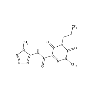 Cn1nnnc1NC(=O)c1nn(C)c(=O)n(CCC(F)(F)F)c1=O